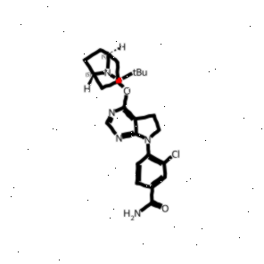 CC(C)(C)ON1[C@H]2CC[C@H]1CC(Oc1ncnc3c1CCN3c1ccc(C(N)=O)cc1Cl)C2